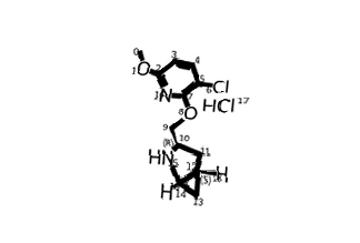 COc1ccc(Cl)c(OC[C@H]2C[C@@H]3C[C@@H]3N2)n1.Cl